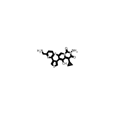 Cc1c(-c2cscc2-c2cccc(CN)n2)c(F)cn2c(=O)n(N)c(=O)c(C3CC3)c12